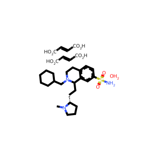 CN1CCC[C@H]1CCC1c2cc(S(N)(=O)=O)ccc2CCN1CC1CCCCC1.O.O=C(O)/C=C/C(=O)O.O=C(O)/C=C/C(=O)O